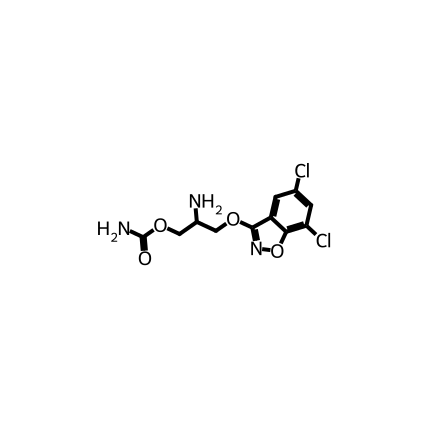 NC(=O)OCC(N)COc1noc2c(Cl)cc(Cl)cc12